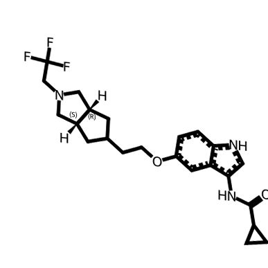 O=C(Nc1c[nH]c2ccc(OCCC3C[C@@H]4CN(CC(F)(F)F)C[C@@H]4C3)cc12)C1CC1